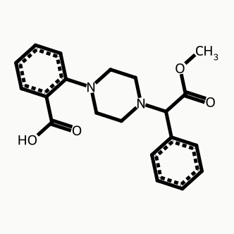 COC(=O)C(c1ccccc1)N1CCN(c2ccccc2C(=O)O)CC1